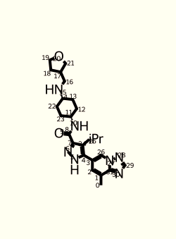 Cc1cc(-c2[nH]nc(C(=O)N[C@H]3CC[C@@H](NCC4CCOC4)CC3)c2C(C)C)cn2ncnc12